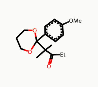 CCC(=O)C(C)(C)C1(c2ccc(OC)cc2)OCCCO1